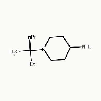 CCCC(C)(CC)N1CCC(N)CC1